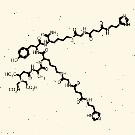 CC(NC(=O)CC(C(=O)O)N(CC(=O)O)CC(=O)O)C(=O)NC(CCCCNC(=O)CNC(=O)CCC(=O)NCCc1cnc[nH]1)C(=O)NC(Cc1ccc(O)cc1)C(=O)NC(CCCCNC(=O)CNC(=O)CCC(=O)NCCc1cnc[nH]1)C(N)=O